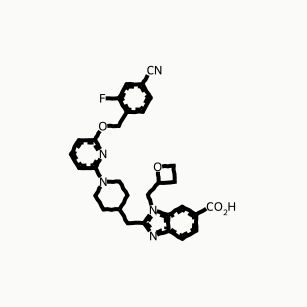 N#Cc1ccc(COc2cccc(N3CCC(Cc4nc5ccc(C(=O)O)cc5n4CC4CCO4)CC3)n2)c(F)c1